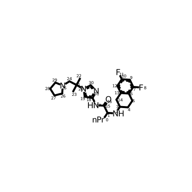 CCCC(NC1CCc2c(F)cc(F)cc2C1)C(=O)Nc1cn(C(C)(C)CN2CCCC2)cn1